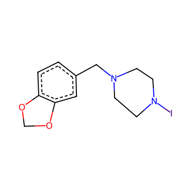 IN1CCN(Cc2ccc3c(c2)OCO3)CC1